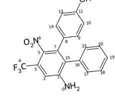 Nc1cc(C(F)(F)F)c([N+](=O)[O-])c(-c2ccc(O)cc2)c1-c1ccccc1